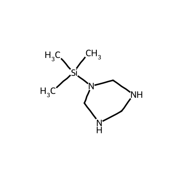 C[Si](C)(C)N1CNCNC1